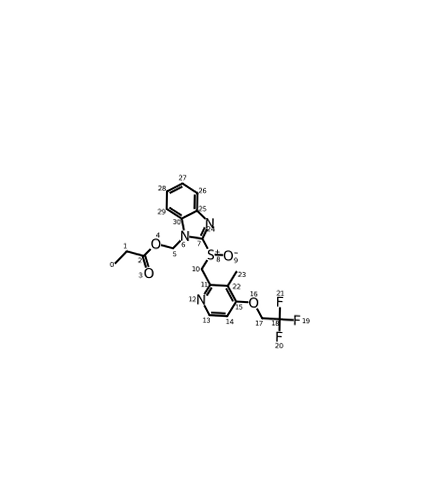 CCC(=O)OCn1c([S+]([O-])Cc2nccc(OCC(F)(F)F)c2C)nc2ccccc21